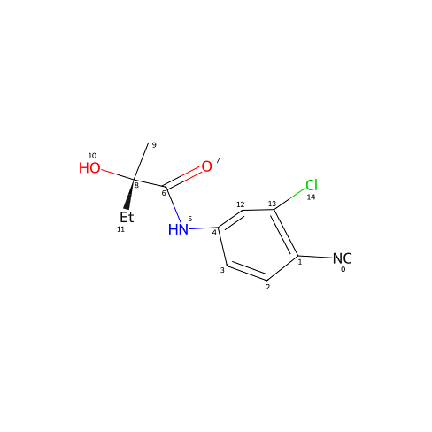 [C-]#[N+]c1ccc(NC(=O)[C@@](C)(O)CC)cc1Cl